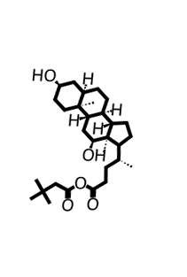 C[C@H](CCC(=O)OC(=O)CC(C)(C)C)C1CC[C@H]2[C@@H]3CC[C@@H]4C[C@H](O)CC[C@]4(C)[C@H]3C[C@H](O)[C@]12C